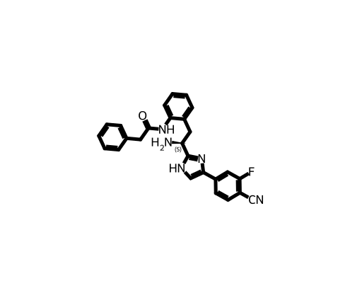 N#Cc1ccc(-c2c[nH]c([C@@H](N)Cc3ccccc3NC(=O)Cc3ccccc3)n2)cc1F